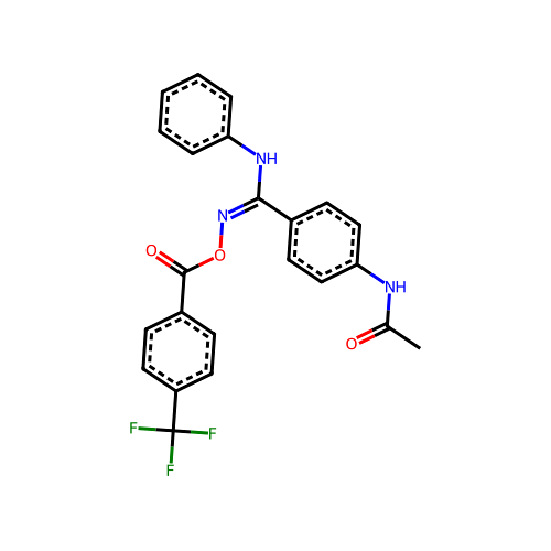 CC(=O)Nc1ccc(/C(=N\OC(=O)c2ccc(C(F)(F)F)cc2)Nc2ccccc2)cc1